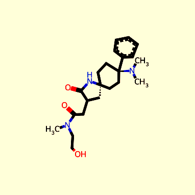 CN(CCO)C(=O)CC1C[C@]2(CC[C@](c3ccccc3)(N(C)C)CC2)NC1=O